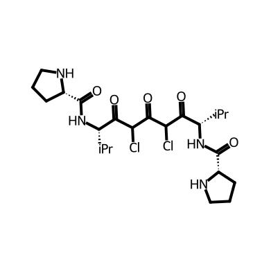 CC(C)[C@H](NC(=O)[C@@H]1CCCN1)C(=O)C(Cl)C(=O)C(Cl)C(=O)[C@@H](NC(=O)[C@@H]1CCCN1)C(C)C